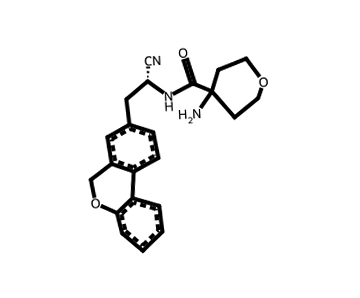 N#C[C@@H](Cc1ccc2c(c1)COc1ccccc1-2)NC(=O)C1(N)CCOCC1